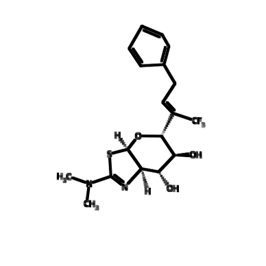 CN(C)C1=N[C@@H]2[C@@H](O)[C@H](O)[C@@H](/C(=C/Cc3ccccc3)C(F)(F)F)O[C@@H]2S1